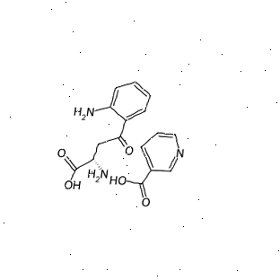 Nc1ccccc1C(=O)C[C@H](N)C(=O)O.O=C(O)c1cccnc1